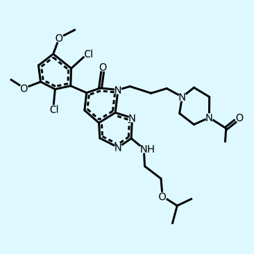 COc1cc(OC)c(Cl)c(-c2cc3cnc(NCCOC(C)C)nc3n(CCCN3CCN(C(C)=O)CC3)c2=O)c1Cl